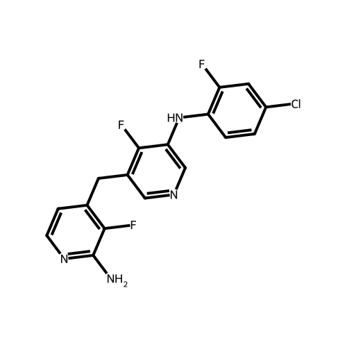 Nc1nccc(Cc2cncc(Nc3ccc(Cl)cc3F)c2F)c1F